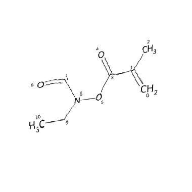 C=C(C)C(=O)ON([C]=O)CC